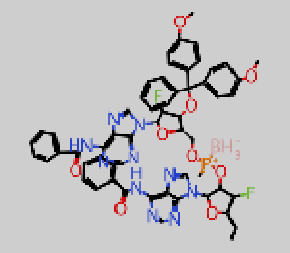 [BH3-][P+](C)(OC[C@H]1O[C@@H](n2cnc3c(NC(=O)c4ccccc4)ncnc32)C(F)[C@H]1OC(c1ccccc1)(c1ccc(OC)cc1)c1ccc(OC)cc1)OC1C(F)C(CC)OC1n1cnc2c(NC(=O)c3ccccc3)ncnc21